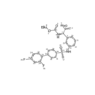 COC(=O)[C@H](NC(=O)OC(C)(C)C)c1cccc(NS(=O)(=O)c2ccc(-c3ccc(F)cc3F)cc2)c1